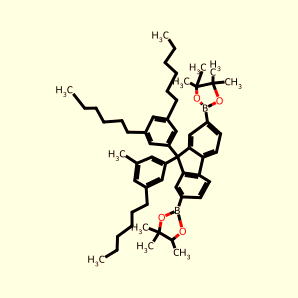 CCCCCCc1cc(C)cc(C2(c3cc(CCCCCC)cc(CCCCCC)c3)c3cc(B4OC(C)C(C)(C)O4)ccc3-c3ccc(B4OC(C)(C)C(C)(C)O4)cc32)c1